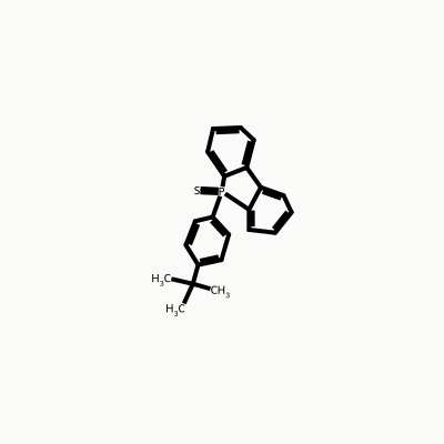 CC(C)(C)c1ccc(P2(=S)c3ccccc3-c3ccccc32)cc1